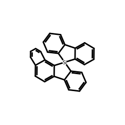 c1ccc2c(c1)-c1ccccc1[Si]21c2ccccc2-c2ccc3ccccc3c21